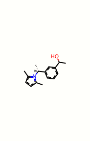 Cc1ccc(C)n1[C@H](C)c1cccc(C(C)O)c1